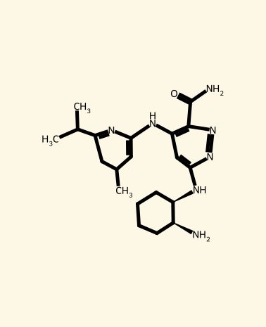 CC1C=C(Nc2cc(N[C@@H]3CCCC[C@@H]3N)nnc2C(N)=O)N=C(C(C)C)C1